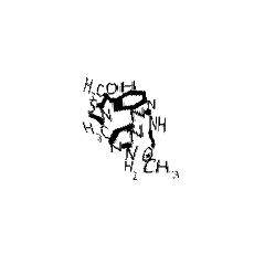 COCCNc1nc2ccc(C(C)(O)c3nc(C)cs3)cc2n1-c1ccnc(N)n1